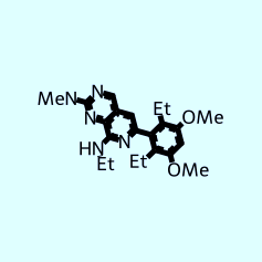 CCNc1nc(-c2c(CC)c(OC)cc(OC)c2CC)cc2cnc(NC)nc12